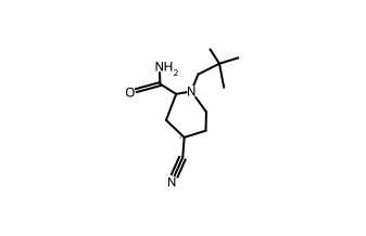 CC(C)(C)CN1CC[C](C#N)CC1C(N)=O